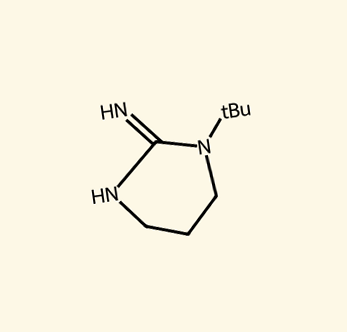 CC(C)(C)N1CCCNC1=N